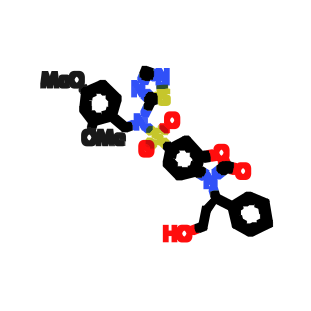 COc1ccc(CN(c2ncns2)S(=O)(=O)c2ccc3c(c2)oc(=O)n3[C@H](CCO)c2ccccc2)c(OC)c1